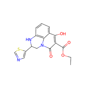 CCOC(=O)c1c(O)c2cccc3c2n(c1=O)CC(c1cncs1)N3